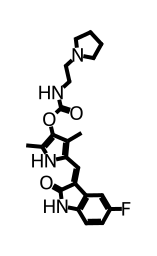 Cc1[nH]c(/C=C2\C(=O)Nc3ccc(F)cc32)c(C)c1OC(=O)NCCN1CCCC1